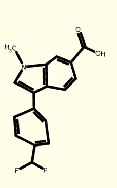 Cn1cc(-c2ccc(C(F)F)cc2)c2ccc(C(=O)O)cc21